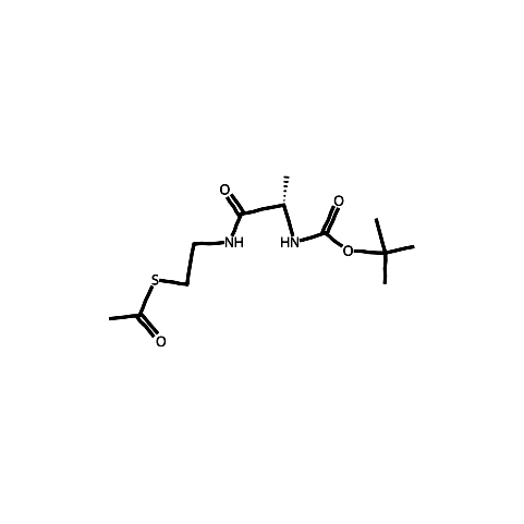 CC(=O)SCCNC(=O)[C@H](C)NC(=O)OC(C)(C)C